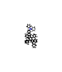 C1=CCCC(N(c2ccccc2)c2ccc3c(c2)cc2c4c(-c5ccccc5)c5c(cc6c7ccccc7c7cccc5c76)c(-c5ccccc5)c4c4cccc3c42)=C1